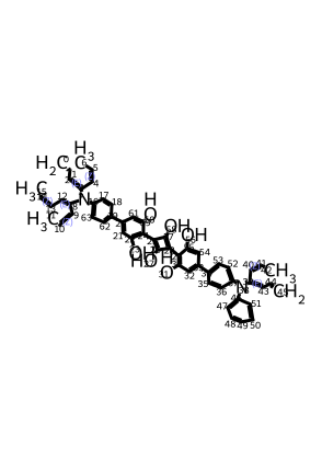 C=C/C=C(\C=C/C)N(C(/C=C\C)=C/C=C\C)c1ccc(-c2cc(O)c(C3=C(O)C(c4c(O)cc(-c5ccc(N(C(/C=C\C)=C/C=C)c6ccccc6)cc5)cc4O)=C3O)c(O)c2)cc1